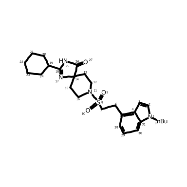 CCCCn1ccc2c(CCS(=O)(=O)N3CCC4(CC3)N=C(C3CCCCC3)NC4=O)cccc21